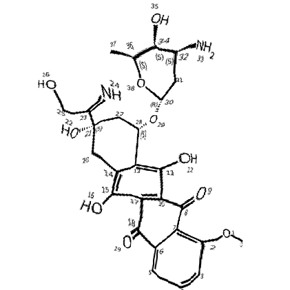 COc1cccc2c1C(=O)c1c(O)c3c(c(O)c1C2=O)C[C@@](O)(C(=N)CO)C[C@@H]3O[C@H]1C[C@H](N)[C@H](O)[C@H](C)O1